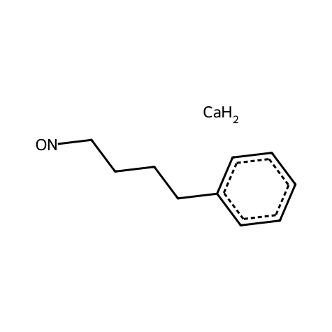 O=NCCCCc1ccccc1.[CaH2]